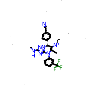 [C-]#[N+]C1=C(C)N(c2cccc(C(F)(F)F)c2)c2nc(NC)nn2[C@@H]1c1ccc(C#N)cc1